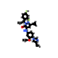 COc1cc(Nc2cc(C3CC3)nn([C@@H](C)c3ccc(F)cc3F)c2=O)ccc1-n1cnc(C)c1